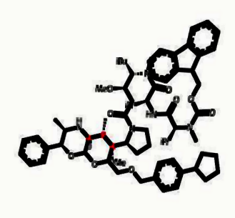 CC[C@H](C)[C@@H]([C@@H](CC(=O)N1CCC[C@H]1[C@H](OC)[C@@H](C)C(=O)N[C@H](C)[C@@H](OC1CCCC(COCc2ccc(C3CCCC3)cc2)O1)c1ccccc1)OC)N(C)C(=O)[C@@H](NC(=O)[C@H](C(C)C)N(C)C(=O)OCC1c2ccccc2-c2ccccc21)C(C)C